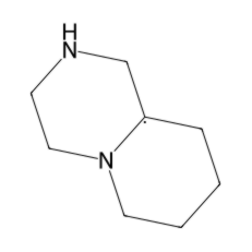 C1CCN2CCNC[C]2C1